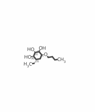 CCCCO[C@@H]1C[C@H](CC)[C@@H](O)[C@H](O)[C@H]1O